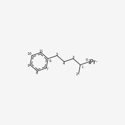 C[C](C)C(C)CCCc1ccccc1